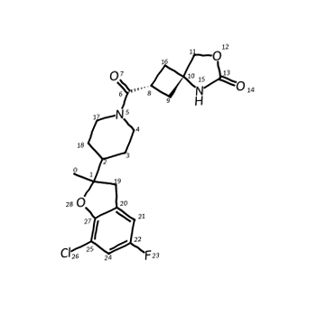 CC1(C2CCN(C(=O)[C@H]3C[C@]4(COC(=O)N4)C3)CC2)Cc2cc(F)cc(Cl)c2O1